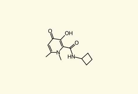 Cc1cc(=O)c(O)c(C(=O)NC2CCC2)n1C